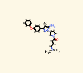 CC(=O)c1c(-c2ccc(Oc3ccccc3)cc2)nn([C@@H]2CCN(C(=O)/C=C/CN(C)C)C2)c1N